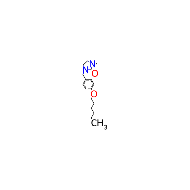 CCCCCCOc1ccc(CN2CC[N]C2=O)cc1